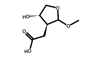 COC1OC[C@@H](O)[C@@H]1CC(=O)O